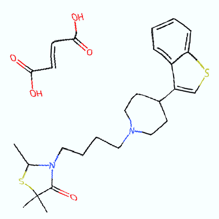 CC1SC(C)(C)C(=O)N1CCCCN1CCC(c2csc3ccccc23)CC1.O=C(O)C=CC(=O)O